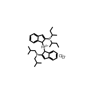 CCC(C)P(C1=Cc2ccccc2[CH]1[Hf+2][CH]1C(P(CC(C)C)CC(C)C)=Cc2ccccc21)C(C)CC.[Cl-].[Cl-]